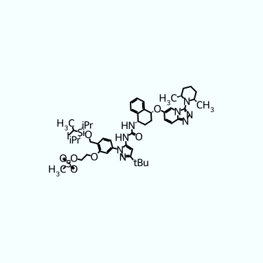 CC(C)[Si](OCc1ccc(-n2nc(C(C)(C)C)cc2NC(=O)N[C@H]2CC[C@@H](Oc3ccc4nnc(N5[C@H](C)CCC[C@@H]5C)n4c3)c3ccccc32)cc1OCCOS(C)(=O)=O)(C(C)C)C(C)I